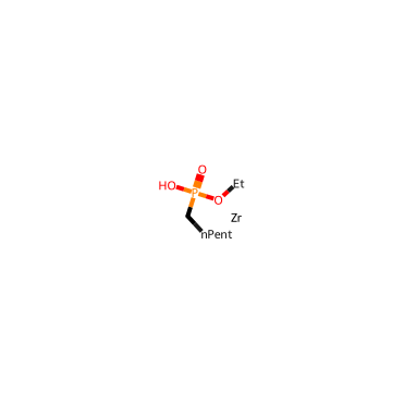 CCCCCCP(=O)(O)OCC.[Zr]